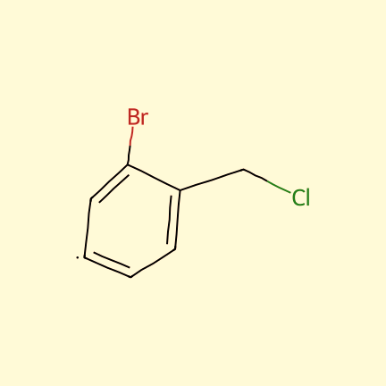 ClCc1cc[c]cc1Br